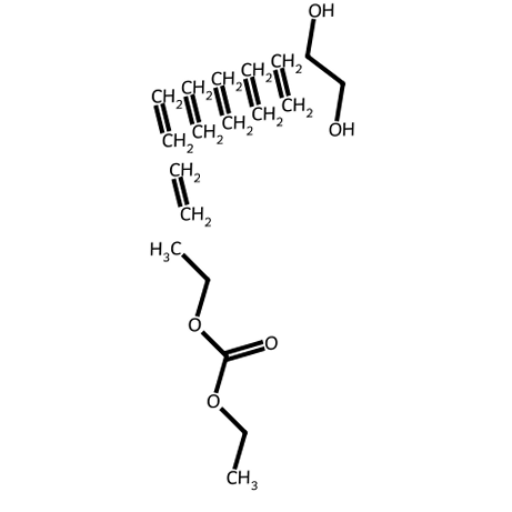 C=C.C=C.C=C.C=C.C=C.C=C.CCOC(=O)OCC.OCCO